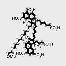 CC[N+]1=C(/C=C/C=C/C=C2/N(CCCCCC(=O)O)c3ccc4c(S(=O)(=O)O)cc(S(=O)(=O)O)cc4c3C2(C)CCOCCOCCOCCOCCOC)C(C)(CCCS(=O)(=O)O)c2c1ccc1c(S(=O)(=O)O)cc(S(=O)(=O)O)cc21